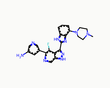 CN1CCN(c2cccc3[nH]c(-c4n[nH]c5cnc(-c6cncc(N)c6)c(F)c45)nc23)CC1